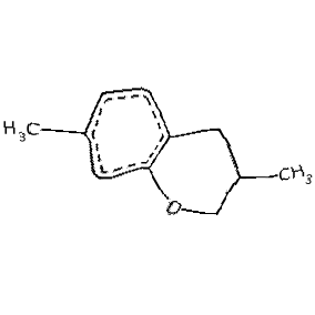 Cc1ccc2c(c1)OCC(C)C2